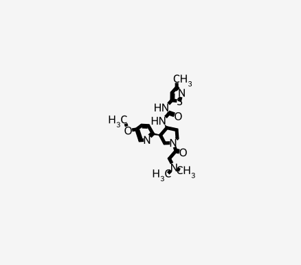 COc1ccc([C@@H]2CN(C(=O)CN(C)C)CC[C@H]2NC(=O)Nc2cc(C)ns2)nc1